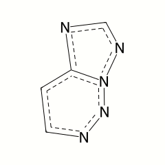 c1cc2ncnn2nn1